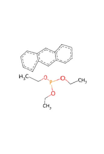 CCOP(OCC)OCC.c1ccc2cc3ccccc3cc2c1